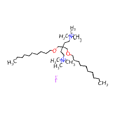 CCCCCCCCCCOCC(CC[N+](C)(C)C)(CC[N+](C)(C)C)COCCCCCCCCCC.[I-].[I-]